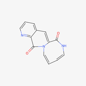 O=C1NC=CC=Cn2c1cc1cccnc1c2=O